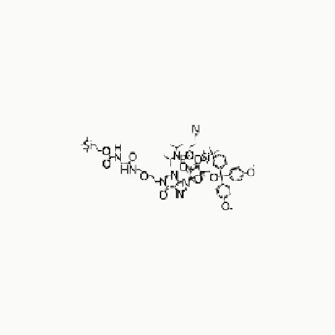 COc1ccc(C(OC[C@H]2O[C@@H](n3cnc4c(=O)n(CCOCNC(=O)CNC(=O)OCC[Si](C)(C)C)cnc43)[C@H](OP(OCCC#N)N(C(C)C)C(C)C)[C@@H]2O[Si](C)(C)C(C)(C)C)(c2ccccc2)c2ccc(OC)cc2)cc1